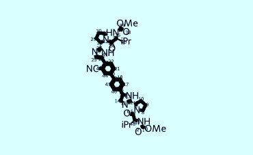 COC(=O)N[C@H](C(=O)N1CCC[C@H]1C1=NCC(c2ccc(-c3ccc(-c4cnc([C@@H]5CCCN5C(=O)[C@@H](NC(=O)OC)C(C)C)[nH]4)c(C#N)c3)cc2)N1)C(C)C